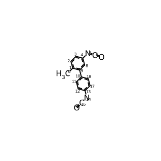 Cc1ccc(N=C=O)cc1-c1ccc(N=C=O)cc1